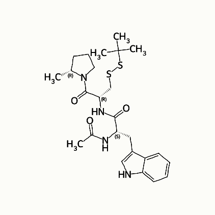 CC(=O)N[C@@H](Cc1c[nH]c2ccccc12)C(=O)N[C@@H](CSSC(C)(C)C)C(=O)N1CCC[C@H]1C